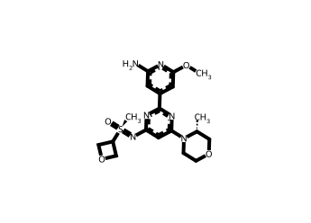 COc1cc(-c2nc(N=[S@@](C)(=O)C3COC3)cc(N3CCOC[C@H]3C)n2)cc(N)n1